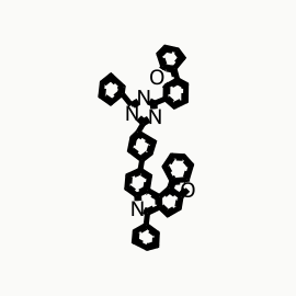 c1ccc(-c2nc(-c3ccc(-c4ccc5nc(-c6ccccc6)c6ccc7oc8ccccc8c7c6c5c4)cc3)nc(-c3cccc4c3oc3ccccc34)n2)cc1